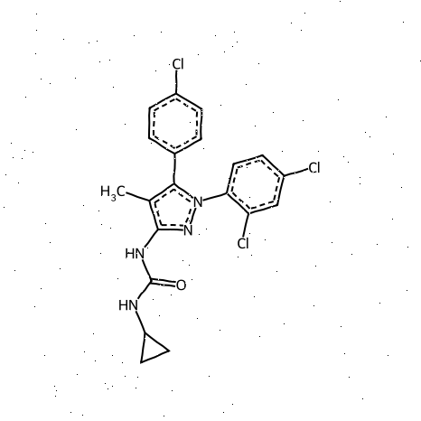 Cc1c(NC(=O)NC2CC2)nn(-c2ccc(Cl)cc2Cl)c1-c1ccc(Cl)cc1